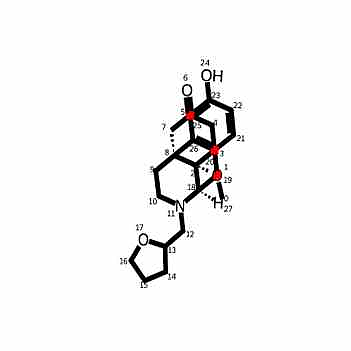 CO[C@@]12CCC(=O)C[C@@]13CCN(CC1CCCO1)[C@@H]2Cc1ccc(O)cc13